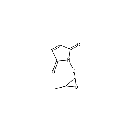 CC1OC1CN1C(=O)C=CC1=O